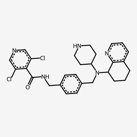 O=C(NCc1ccc(CN(C2CCNCC2)C2CCCc3cccnc32)cc1)c1c(Cl)cncc1Cl